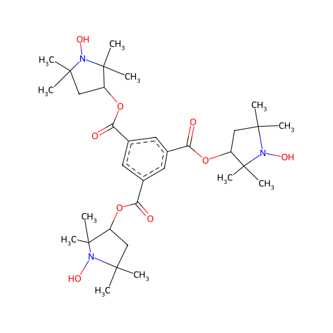 CC1(C)CC(OC(=O)c2cc(C(=O)OC3CC(C)(C)N(O)C3(C)C)cc(C(=O)OC3CC(C)(C)N(O)C3(C)C)c2)C(C)(C)N1O